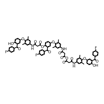 Cc1cc(NC(=O)CC(=O)OC(=O)CC(=O)Nc2cc(C)c(Oc3ccc(OC(=O)CC(=O)Nc4cc(C)c(Oc5ccc(O)c(C(=O)c6ccc(F)cc6)c5)c(C)c4)c(C(=O)c4ccc(F)cc4)c3)c(C)c2)cc(C)c1Oc1ccc(O)c(C(=O)c2ccc(F)cc2)c1